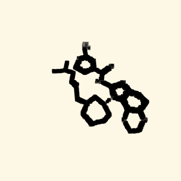 CN(C)C/C=C/CN1CCCC[C@@H](n2c(NC(=O)c3ccnc(C(F)(F)F)c3)nc3ccc4c(c32)OCCO4)C1